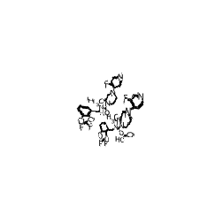 C[C@@H]1CN(c2ccncc2F)CCN1C(=O)NCc1cccc2c1OC(F)(F)O2.C[C@@H]1CN(c2ccncc2F)CCN1C(=O)NCc1cccc2c1OC(F)(F)O2.O=CO